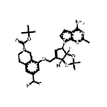 Cc1nc(N)c2ccn([C@@H]3C=C(COc4cc(C(F)F)cc5c4CN(C(=O)OC(C)(C)C)CC5)[C@H]4OC(C)(C)O[C@H]43)c2n1